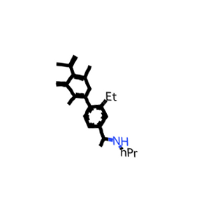 C=C(C)C1=C(C)CC(c2ccc(C(C)NCCC)cc2CC)=C(C)C1=C